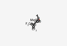 CO[C@H]1[C@H](C(C)(C)OCC=C(C)C)[C@]2(CC[C@H]1OCCP(=O)(c1ccc(C(F)(F)F)cc1)c1ccc(C(F)(F)F)cc1)CO2